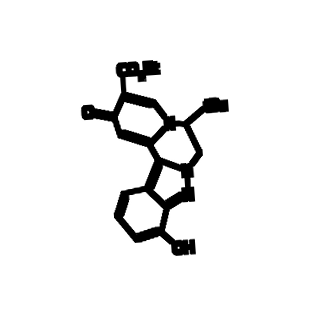 CCOC(=O)c1cn2c(cc1=O)-c1c3cccc(O)c3nn1CC2C(C)(C)C